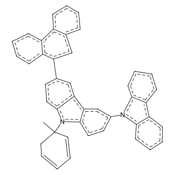 CC1(n2c3ccc(-c4cc5ccccc5c5ccccc45)cc3c3cc(-n4c5ccccc5c5ccccc54)ccc32)C=CC=CC1